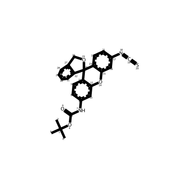 CC(C)(C)OC(=O)Nc1ccc2c(c1)Oc1cc(N=C=S)ccc1C21OCc2ccccc21